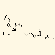 C=CC(=O)OCCCC[Si](C)(C)OCC